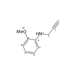 C#CCNc1cc[c]cc1OC